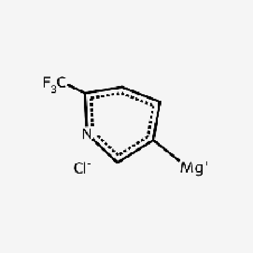 FC(F)(F)c1cc[c]([Mg+])cn1.[Cl-]